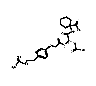 N=C(N)NCCc1ccc(OCC(=O)N[C@@H](CC(=O)O)C(=O)NC2(C(=O)O)CCCCC2)cc1